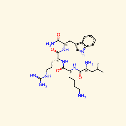 CC(C)C[C@@H](N)C(=O)N[C@H](CCCCN)C(=O)N[C@H](CCCNC(=N)N)C(=O)N[C@H](Cc1c[nH]c2ccccc12)C(N)=O